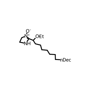 CCCCCCCCCCCCCCCCCC(OCC)C1=[N+]([O-])CCN1